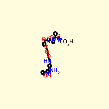 C[C@@H](C(=O)N[C@H](C(=O)N1CCC[C@H]1c1nc(C(=O)c2cccc(OCCOCCOCCNCc3ccc(-c4cc(-c5ccccc5O)nnc4N)cc3)c2)cs1)C1CCCCC1)N(C)C(=O)O